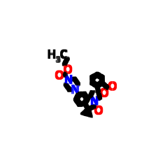 CCCOC(=O)N1CCN(c2ccc(C3(C(=O)N4CC[C@@]5(C4)OC(=O)c4ccccc45)CC3)cc2)CC1